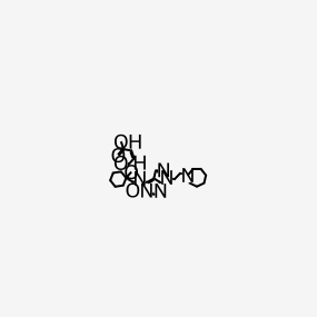 O=C(O)/C=C\C(=O)OC1(C(=O)Nc2ncnc3c2cnn3CCN2CCCCCC2)CCCCC1